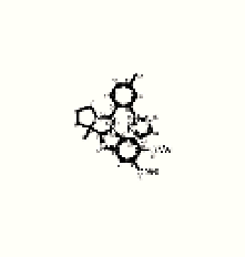 COc1cc2nc(C3(C)CCCN3C(=O)c3ccc(C)cc3-n3nccn3)[nH]c2cc1OC